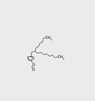 CCCCCCCCC(CCCCCC)Cc1ccc(OC=O)s1